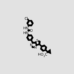 O=C(Nc1ccc(-c2ncnc3c(-c4ccc(C5(C(=O)O)CC5)cc4)csc23)cc1)Nc1cccc(Cl)c1